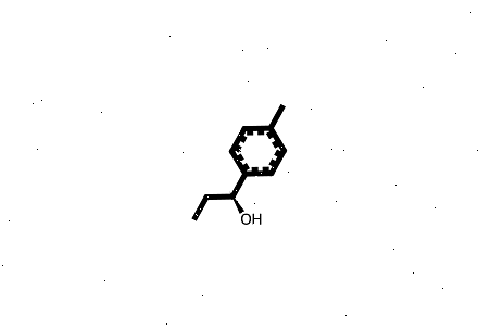 CC[C@H](O)c1ccc(C)cc1